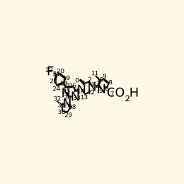 C=C1CN(c2nc(C(=O)O)ccc2C)CCN1c1cc(-c2ccc(F)cc2)nc(N2CCC[C@H]2C)n1